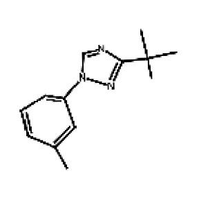 Cc1cccc(-n2cnc(C(C)(C)C)n2)c1